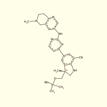 CN1CCc2ncc(Nc3nccc(-c4cc(C#N)c5c(c4)[C@@](C)(CO[Si](C)(C)C(C)(C)C)CN5)n3)cc2C1